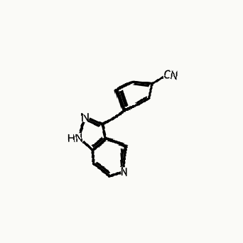 N#Cc1ccc(-c2n[nH]c3ccncc23)cc1